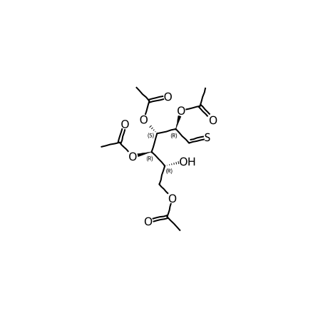 CC(=O)OC[C@@H](O)[C@@H](OC(C)=O)[C@H](OC(C)=O)[C@H](C=S)OC(C)=O